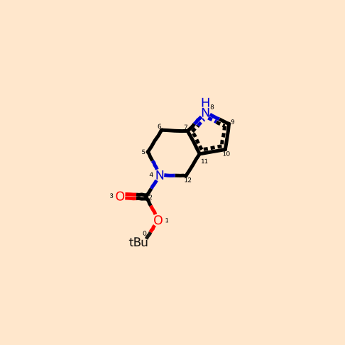 CC(C)(C)OC(=O)N1CCc2[nH]ccc2C1